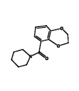 O=C(c1cccc2c1OCCO2)N1CCCCC1